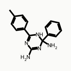 Cc1ccc(C2=NC(N)=NC(N)(c3ccccc3)N2)cc1